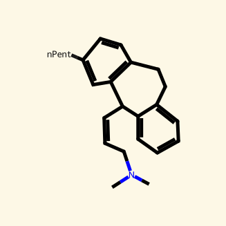 CCCCCc1ccc2c(c1)C(/C=C\CN(C)C)c1ccccc1CC2